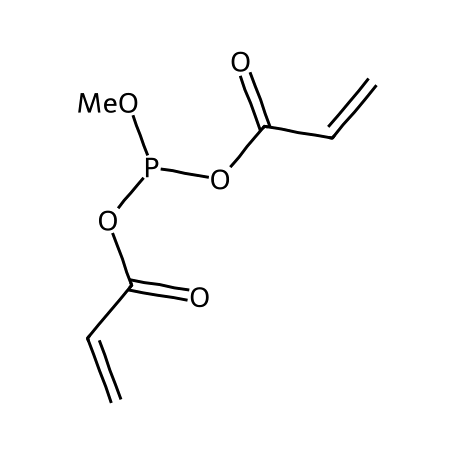 C=CC(=O)OP(OC)OC(=O)C=C